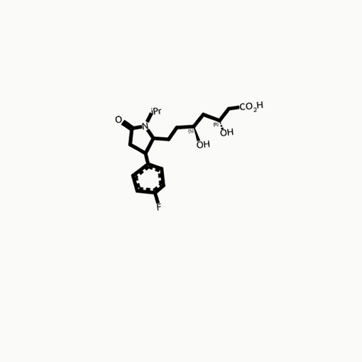 CC(C)N1C(=O)CC(c2ccc(F)cc2)C1CC[C@H](O)C[C@@H](O)CC(=O)O